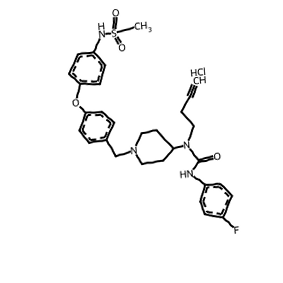 C#CCCN(C(=O)Nc1ccc(F)cc1)C1CCN(Cc2ccc(Oc3ccc(NS(C)(=O)=O)cc3)cc2)CC1.Cl